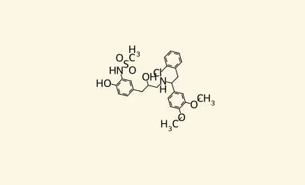 COc1ccc(C(Cc2ccccc2Cl)NCC(O)Cc2ccc(O)c(NS(C)(=O)=O)c2)cc1OC